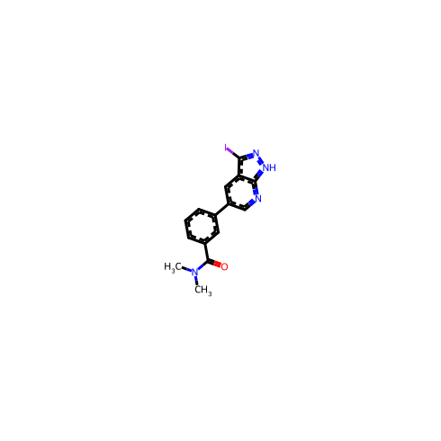 CN(C)C(=O)c1cccc(-c2cnc3[nH]nc(I)c3c2)c1